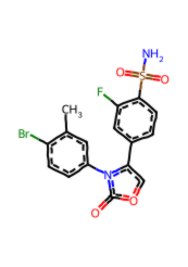 Cc1cc(-n2c(-c3ccc(S(N)(=O)=O)c(F)c3)coc2=O)ccc1Br